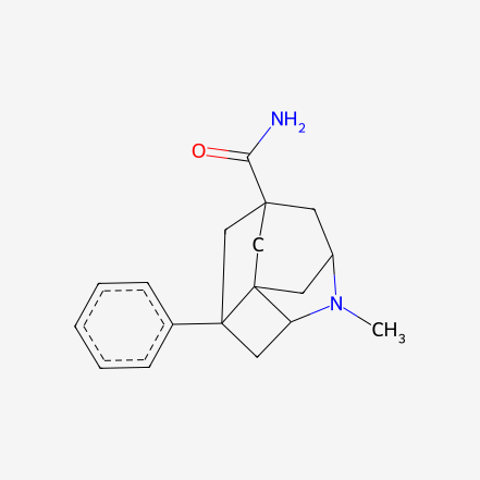 CN1C2CC3(C(N)=O)CC4(c5ccccc5)CC1C4(C2)C3